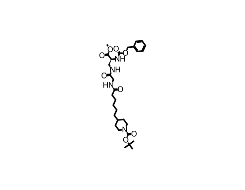 COC(=O)[C@H](CNC(=O)CNC(=O)CCCCCC1CCN(C(=O)OC(C)(C)C)CC1)NC(=O)OCc1ccccc1